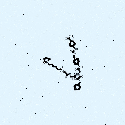 NC(=O)c1ccc(NC(=O)OCc2ccc(NC(=O)CNC(=O)[C@H](Cc3ccccc3)NC(=O)COC(=O)CNC(=O)CCCCCN3C(=O)C=CC3=O)cc2)cc1